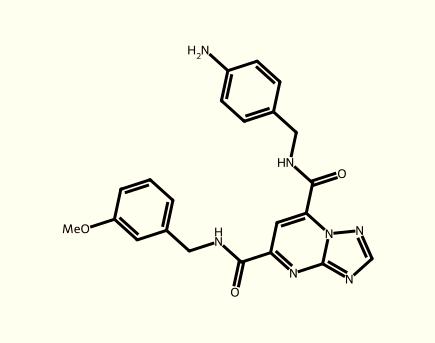 COc1cccc(CNC(=O)c2cc(C(=O)NCc3ccc(N)cc3)n3ncnc3n2)c1